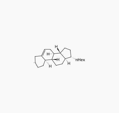 CCCCCC[C@H]1CC[C@H]2[C@@H]3CC=C4C[CH]CC[C@@H]4[C@H]3CC[C@H]12